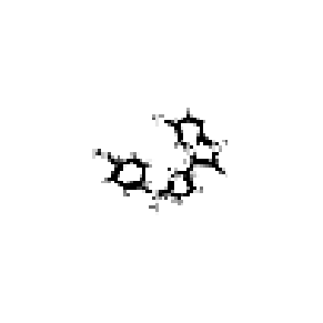 Cc1nc2ccc(F)cn2c1-c1csc(Nc2ccc(Br)cc2)n1